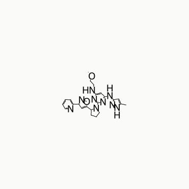 COCCNc1cc(Nc2cc(C)[nH]n2)nc(N2CCCC2c2cc(-c3ccccn3)no2)n1